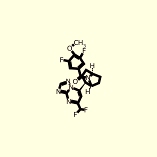 COc1c(F)cc(C(=O)N2[C@H]3CC[C@H](c4cc(C(F)F)nc5ncnn45)[C@@H]2CC3)cc1F